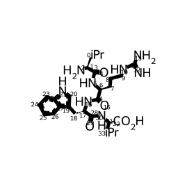 CC(C)[C@H](N)C(=O)N[C@@H](CCCNC(=N)N)C(=O)N[C@@H](Cc1c[nH]c2ccccc12)C(=O)N[C@H](C(=O)O)C(C)C